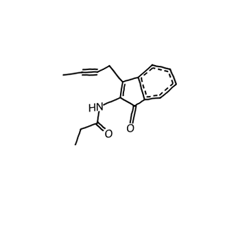 CC#CCC1=C(NC(=O)CC)C(=O)c2ccccc21